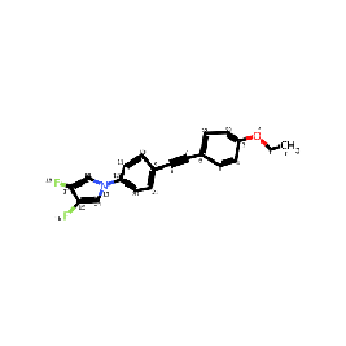 CCOc1ccc(C#Cc2ccc(-n3cc(F)c(F)c3)cc2)cc1